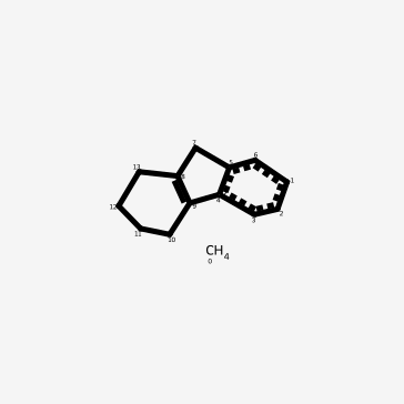 C.c1ccc2c(c1)CC1=C2CCCC1